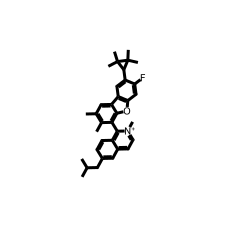 Cc1cc2c(oc3cc(F)c(C4C(C)(C)C4(C)C)cc32)c(-c2c3ccc(CC(C)C)cc3cc[n+]2C)c1C